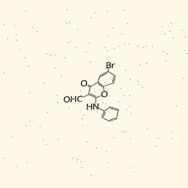 O=Cc1c(Nc2ccccc2)oc2ccc(Br)cc2c1=O